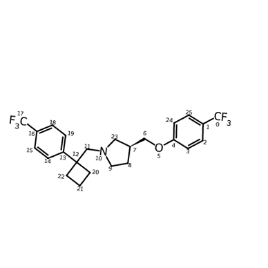 FC(F)(F)c1ccc(OC[C@H]2CCN(CC3(c4ccc(C(F)(F)F)cc4)CCC3)C2)cc1